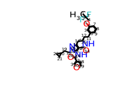 CC(F)(F)COc1cccc(CCC2Cc3nn(CCC4CC4)c(NC(=O)c4ccoc4)c3C(=O)N2)c1